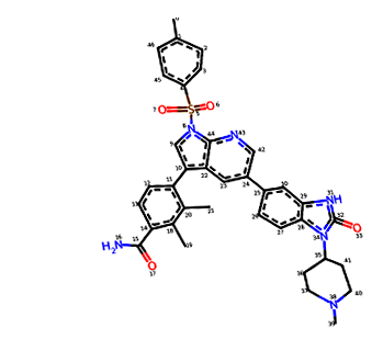 Cc1ccc(S(=O)(=O)n2cc(-c3ccc(C(N)=O)c(C)c3C)c3cc(-c4ccc5c(c4)[nH]c(=O)n5C4CCN(C)CC4)cnc32)cc1